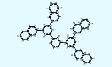 c1cc(-c2nc(-c3ccc4ccccc4c3)cc(-c3ccc4ccccc4c3)n2)nc(-c2nc(-c3ccc4ccccc4c3)cc(-c3ccc4ccccc4c3)n2)c1